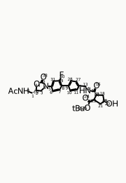 CC(=O)NC[C@H]1CN(c2ccc(-c3ccc(CNC(=O)[C@@H]4C[C@@H](O)CC4C(=O)OC(C)(C)C)cc3)c(F)c2)C(=O)O1